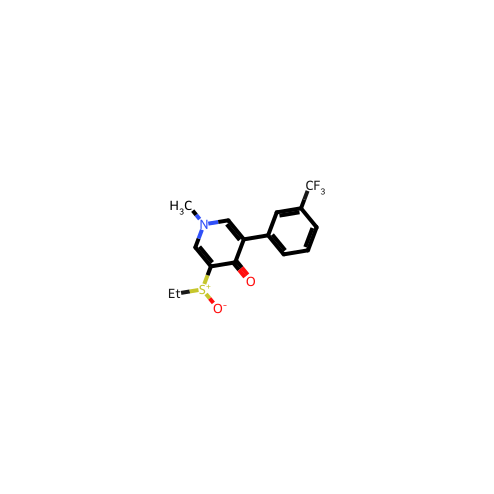 CC[S+]([O-])c1cn(C)cc(-c2cccc(C(F)(F)F)c2)c1=O